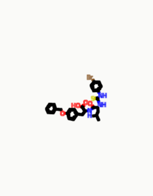 CC(C)CC(NC(=S)Nc1ccc(Br)cc1)C(=O)NC(Cc1ccc(OCc2ccccc2)cc1)C(=O)O